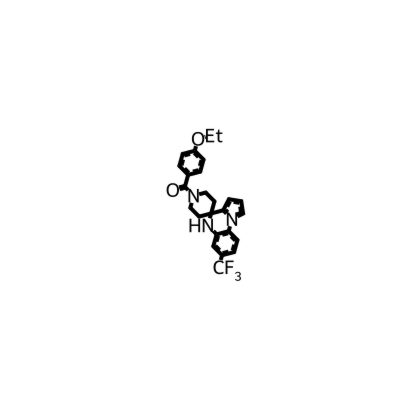 CCOc1ccc(C(=O)N2CCC3(CC2)Nc2cc(C(F)(F)F)ccc2-n2cccc23)cc1